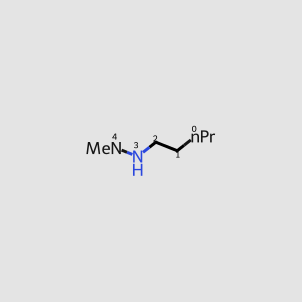 CCCCCNNC